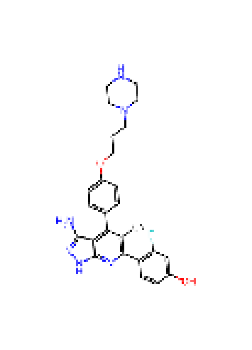 N#Cc1c(-c2ccc(O)cc2F)nc2[nH]nc(N)c2c1-c1ccc(OCCCN2CCNCC2)cc1